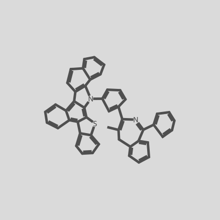 CC1=C(c2cccc(-n3c4c5ccccc5ccc4c4c5ccccc5c5c6ccccc6sc5c43)c2)N=C(c2ccccc2)c2ccccc2C1